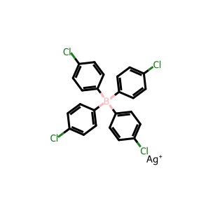 Clc1ccc([B-](c2ccc(Cl)cc2)(c2ccc(Cl)cc2)c2ccc(Cl)cc2)cc1.[Ag+]